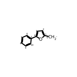 [CH2]c1ccc(-c2ccccc2)o1